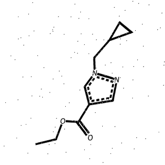 CCOC(=O)c1cnn(CC2CC2)c1